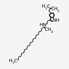 C=C(C)Cc1ccc2[nH]cc(CCNC(=C)CCCCCCCCCCCCCCCCCCC)c2c1